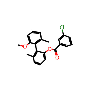 COc1cccc(C)c1-c1c(C)cccc1OC(=O)c1cccc(Cl)c1